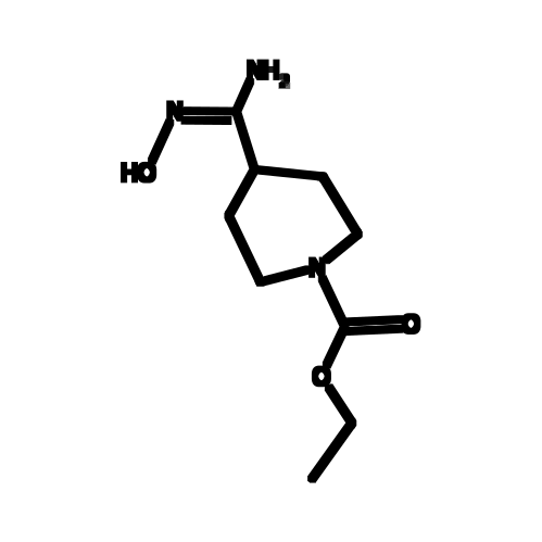 CCOC(=O)N1CCC(/C(N)=N\O)CC1